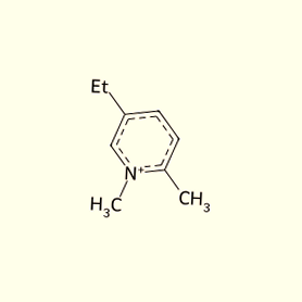 CCc1ccc(C)[n+](C)c1